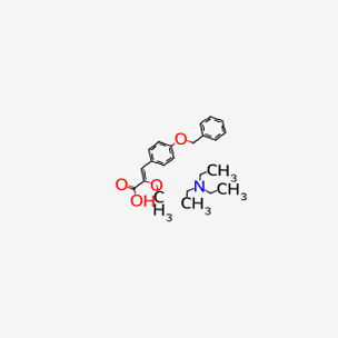 CCN(CC)CC.CO/C(=C\c1ccc(OCc2ccccc2)cc1)C(=O)O